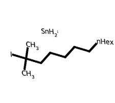 CCCCCCCCCCCC(C)(C)I.[SnH2]